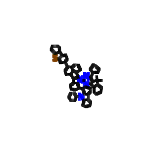 CC1(C)c2ccccc2-c2nc(-n3c4c(c5cccc(-c6cccc7c8ccccc8n(-c8ccccc8)c67)c53)-c3ccc(-c5ccc6c(c5)sc5ccccc56)c5cccc-4c35)nc(-c3ccccc3)c21